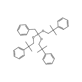 CC(C)(C[O][Zr]([CH2]c1ccccc1)([O]CC(C)(C)c1ccccc1)[O]CC(C)(C)c1ccccc1)c1ccccc1